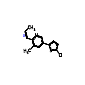 C/C=C\c1ncc(-c2ccc(Cl)s2)cc1C